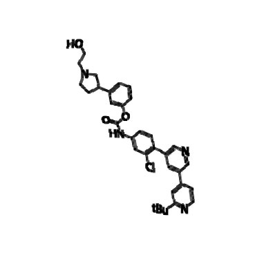 CC(C)(C)c1cc(-c2cncc(-c3ccc(NC(=O)Oc4cccc(C5CCN(CCO)C5)c4)cc3Cl)c2)ccn1